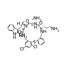 Cc1[nH]c2ccccc2c1C[C@H]1C(=O)NCc2cc(Cl)cc(Cl)c2Sc2ccccc2CN[C@@H](CCCN)C(=O)N[C@@H](CN)C(=O)N1C